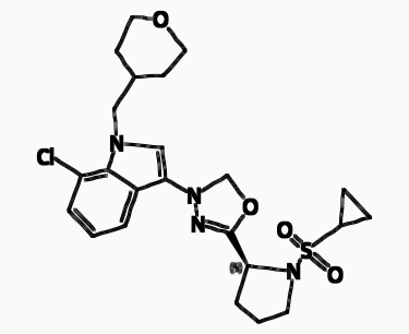 O=S(=O)(C1CC1)N1CCC[C@H]1C1=NN(c2cn(CC3CCOCC3)c3c(Cl)cccc23)CO1